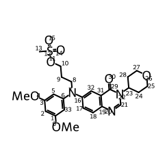 COc1cc(OC)cc(N(CCCOS(C)(=O)=O)c2ccc3ncn(C4CCOCC4)c(=O)c3c2)c1